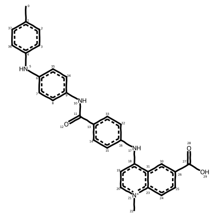 Cc1ccc(Nc2ccc(NC(=O)c3ccc(Nc4cc[n+](C)c5ccc(C(=O)O)cc45)cc3)cc2)cc1